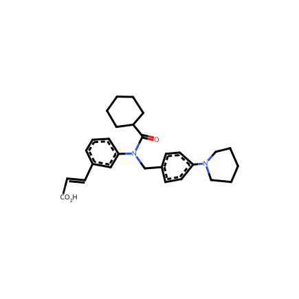 O=C(O)C=Cc1cccc(N(Cc2ccc(N3CCCCC3)cc2)C(=O)C2CCCCC2)c1